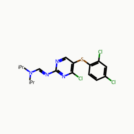 CC(C)N(/C=N/c1ncc(Sc2ccc(Cl)cc2Cl)c(Cl)n1)C(C)C